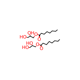 CCCCCCCC(=O)OCC(O)CO.CCCCCCCC(=O)OCC(O)CO